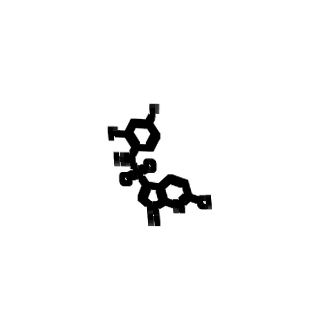 O=S(=O)(Nc1ccc(F)cc1F)c1c[nH]c2nc(Cl)ccc12